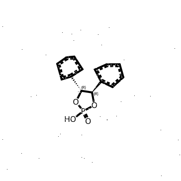 O=P1(O)O[C@H](c2ccccc2)[C@@H](c2ccccc2)O1